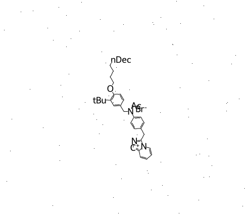 CCCCCCCCCCCCCCOc1ccc(CN(C(C)=O)c2ccc(CC3=N[C+]=C4C=CC=CN43)cc2)cc1C(C)(C)C.[Br-]